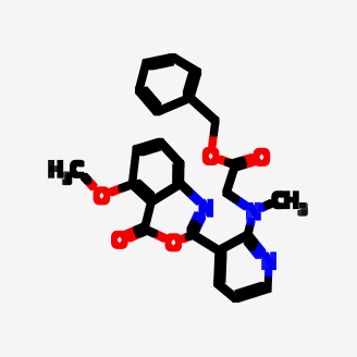 COc1cccc2nc(-c3cccnc3N(C)CC(=O)OCc3ccccc3)oc(=O)c12